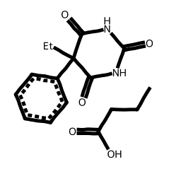 CCC1(c2ccccc2)C(=O)NC(=O)NC1=O.CCCC(=O)O